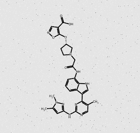 Cc1cnc(Nc2cc(C)n(C)n2)nc1-c1c[nH]c2c(NC(=O)CN3CC[C@H](Oc4oncc4C(=O)O)C3)cccc12